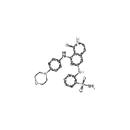 NS(=O)(=O)c1ccccc1Nc1cc2cc[nH]c(=O)c2c(Nc2ccc(N3CCOCC3)cc2)n1